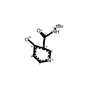 CC(C)(C)NC(=O)c1cn[c]cc1Cl